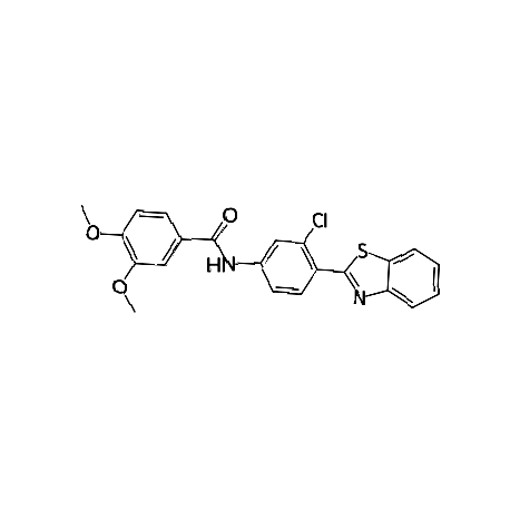 COc1ccc(C(=O)Nc2ccc(-c3nc4ccccc4s3)c(Cl)c2)cc1OC